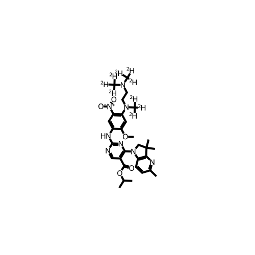 [2H]C([2H])([2H])N(CCN(C([2H])([2H])[2H])C([2H])([2H])[2H])c1cc(OC)c(Nc2ncc(C(=O)OC(C)C)c(N3CC(C)(C)c4nc(C)ccc43)n2)cc1[N+](=O)[O-]